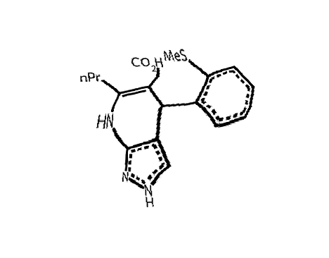 CCCC1=C(C(=O)O)C(c2ccccc2SC)c2c[nH]nc2N1